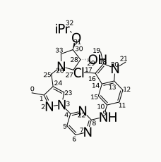 Cc1nn(-c2ccnc(Nc3ccc4c(c3)c(Cl)c(C)n4C)n2)cc1CN1C[C@@H](O)[C@H](OC(C)C)C1